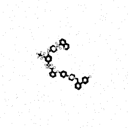 O=C(NS(=O)(=O)c1ccc(NC2CCN(S(=O)(=O)c3cccc4cccnc34)CC2)c(S(=O)(=O)C(F)(F)F)c1)c1ccccc1Oc1ccc(N2CCN(Cc3ccccc3-c3ccc(Cl)cc3)CC2)cc1